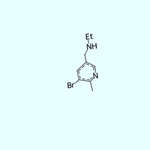 CCNCc1cnc(C)c(Br)c1